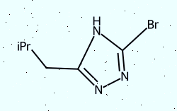 CC(C)Cc1nnc(Br)[nH]1